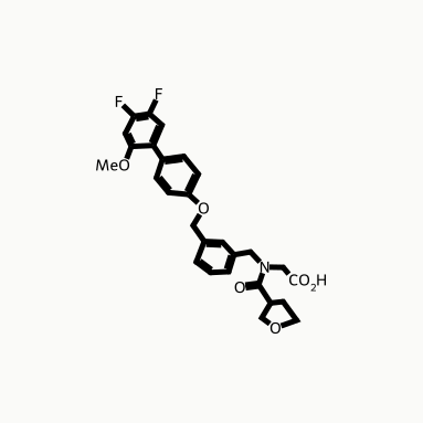 COc1cc(F)c(F)cc1-c1ccc(OCc2cccc(CN(CC(=O)O)C(=O)C3CCOC3)c2)cc1